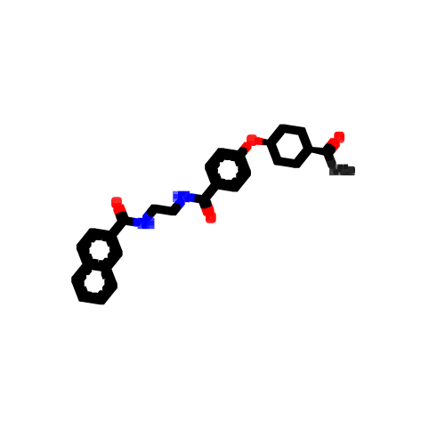 CNC(=O)[C@H]1CC[C@@H](Oc2ccc(C(=O)NCCNC(=O)c3ccc4ccccc4c3)cc2)CC1